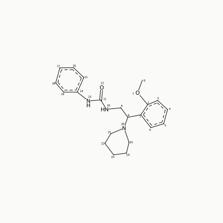 COc1ccccc1C(CNC(=O)Nc1ccccc1)N1CCCCC1